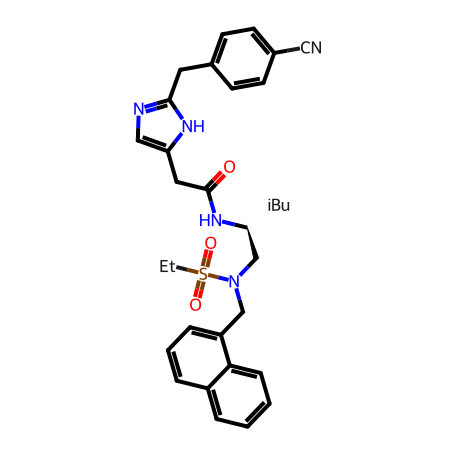 CC[C@H](C)[C@@H](CN(Cc1cccc2ccccc12)S(=O)(=O)CC)NC(=O)Cc1cnc(Cc2ccc(C#N)cc2)[nH]1